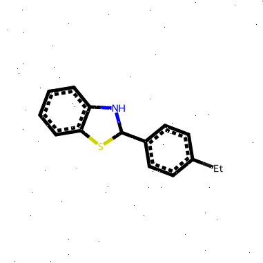 CCc1ccc(C2Nc3ccccc3S2)cc1